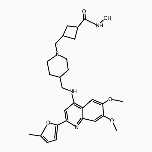 COc1cc2nc(-c3ccc(C)o3)cc(NCC3CCN(CC4CC(C(=O)NO)C4)CC3)c2cc1OC